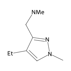 CCc1cn(C)nc1CNC